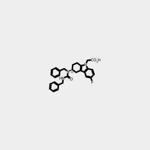 O=C(O)Cn1c2c(c3cc(F)ccc31)C[C@@H](N(Cc1ccccc1)C(=O)NCc1ccccc1)CC2